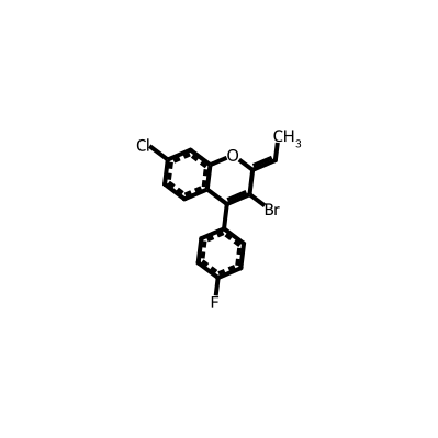 C/C=C1\Oc2cc(Cl)ccc2C(c2ccc(F)cc2)=C1Br